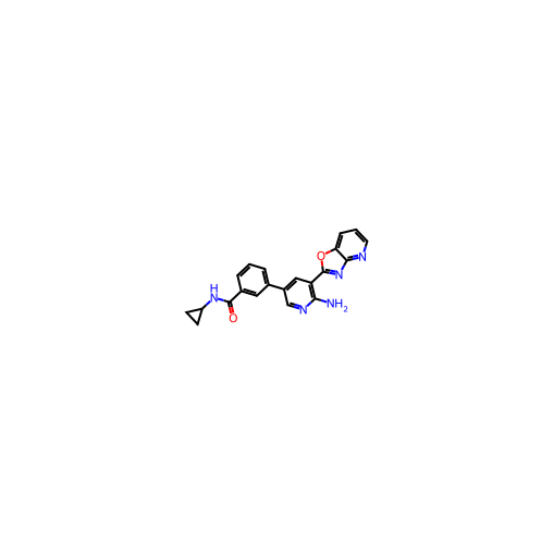 Nc1ncc(-c2cccc(C(=O)NC3CC3)c2)cc1-c1nc2ncccc2o1